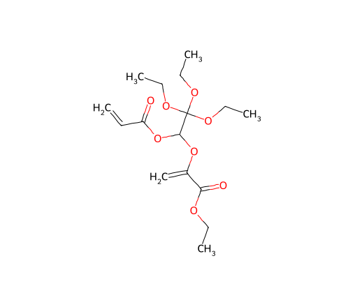 C=CC(=O)OC(OC(=C)C(=O)OCC)C(OCC)(OCC)OCC